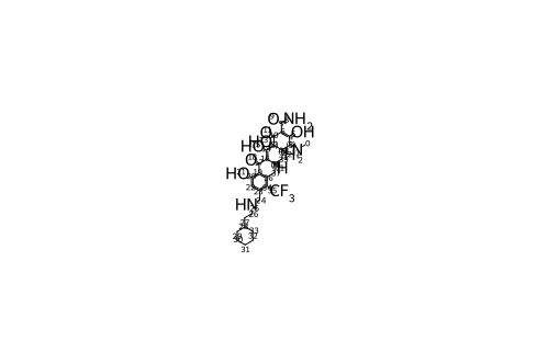 CN(C)[C@@H]1C(O)=C(C(N)=O)C(=O)[C@@]2(O)C(O)=C3C(=O)c4c(O)cc(CNCCC5CCCCC5)c(C(F)(F)F)c4C[C@H]3C[C@@H]12